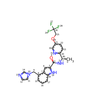 C[C@@H](NC(=O)c1cc2c(Cn3ccnc3)cccc2[nH]1)c1ccc(OCC(F)(F)F)cn1